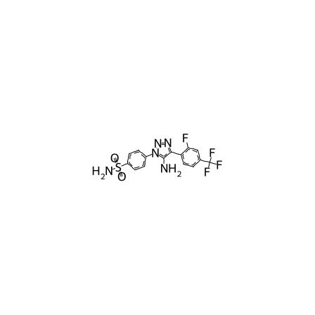 Nc1c(-c2ccc(C(F)(F)F)cc2F)nnn1-c1ccc(S(N)(=O)=O)cc1